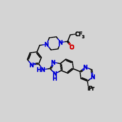 CC(C)c1cc(-c2ccc3nc(Nc4cc(CN5CCN(C(=O)CC(F)(F)F)CC5)ccn4)[nH]c3c2)ncn1